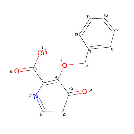 O=C(O)C1=C(OCc2ccccc2)C(=O)CC=N1